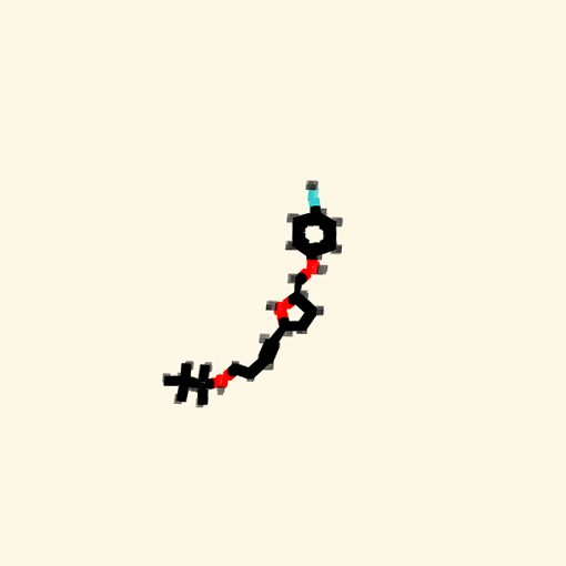 CC(C)(C)[Si](C)(C)OCCC#C[C@@H]1CC[C@@H](COc2ccc(F)cc2)O1